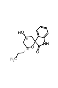 CCC[C@@H]1C[C@@H](O)CC2(O1)C(=O)Nc1ccccc12